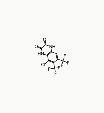 O=c1[nH]c2cc(C(F)(F)F)c(C(F)(F)F)c(Cl)c2[nH]c1=O